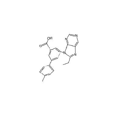 CCc1nc2cncnc2n1-c1cc(C(=O)O)cc(-c2ccc(C)cc2)c1